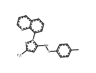 Cc1ccc(SNc2cc(C(F)(F)F)nn2-c2cccc3cccnc23)cc1